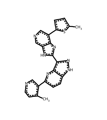 Cc1ccc(-c2cncc3[nH]c(-c4n[nH]c5ccc(-c6cnccc6C)nc45)nc23)s1